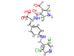 CC(=O)c1c(C(=O)N[C@@H](Cc2ccc(NCc3c(Cl)cncc3Cl)cc2)C(=O)O)c(C)n(C)c1C